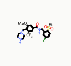 CCS(=O)(=O)c1ccc(Cl)cc1CNC(=O)c1cc(OC)c(CN2CCNCC2)c(C(F)(F)F)c1